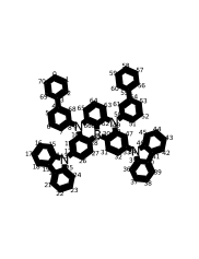 c1ccc(-c2cccc(N3c4cc(-n5c6ccccc6c6ccccc65)ccc4B4c5ccc(-n6c7ccccc7c7ccccc76)cc5N(c5cccc(-c6ccccc6)c5)c5cccc3c54)c2)cc1